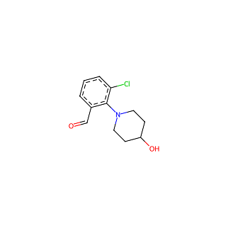 O=Cc1cccc(Cl)c1N1CCC(O)CC1